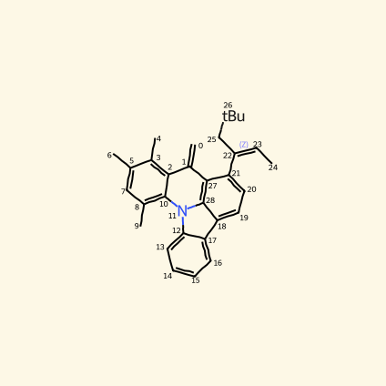 C=c1c2c(C)c(C)cc(C)c2n2c3ccccc3c3ccc(/C(=C\C)CC(C)(C)C)c1c32